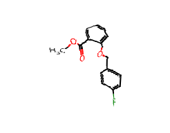 COC(=O)c1ccccc1OCc1ccc(F)cc1